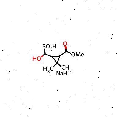 COC(=O)C1C(C(O)S(=O)(=O)O)C1(C)C.[NaH]